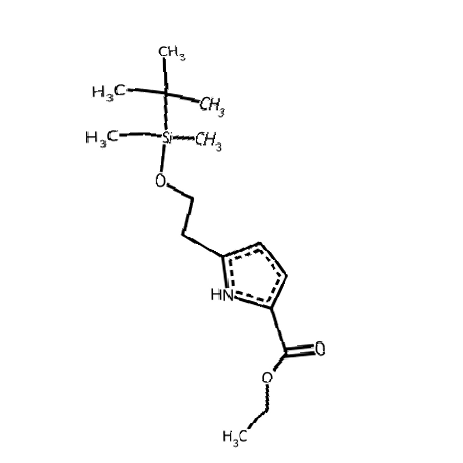 CCOC(=O)c1ccc(CCO[Si](C)(C)C(C)(C)C)[nH]1